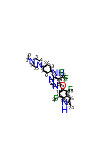 CCN1CCN(c2ccc(Nc3ncnc(Oc4cc(F)c5[nH]c(C)cc5c4F)c3C(F)F)cc2)CC1